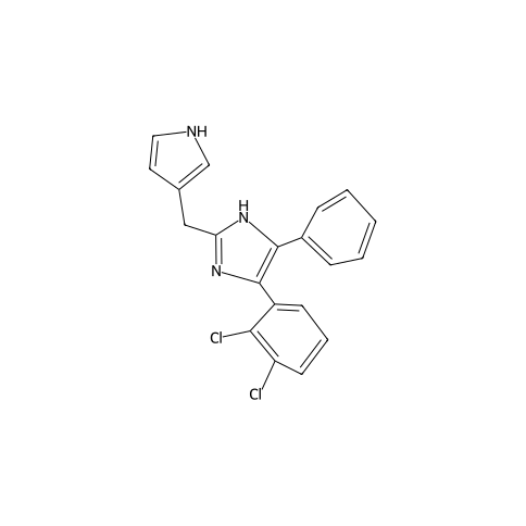 Clc1cccc(-c2nc(Cc3cc[nH]c3)[nH]c2-c2ccccc2)c1Cl